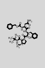 CC[C@@H]1CCN(C(=O)[C@@H](O)[C@H](Cc2ccccc2)NC(=O)[C@H](CC(N)=O)NC(=O)OCc2ccccc2)[C@@H]1C(=O)NC(C)(C)C